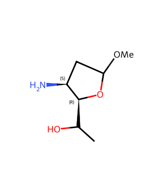 COC1C[C@H](N)[C@H](C(C)O)O1